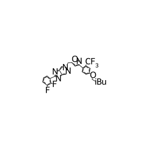 CCC(C)COc1ccc(-c2cc(Cn3cc4nc(-c5cccc(F)c5F)nc-4cn3)on2)c(C(F)(F)F)c1